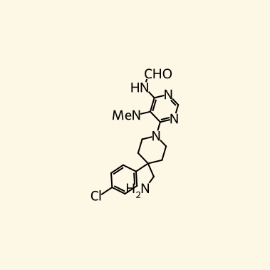 CNc1c(NC=O)ncnc1N1CCC(CN)(c2ccc(Cl)cc2)CC1